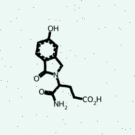 NC(=O)C(CCC(=O)O)N1Cc2cc(O)ccc2C1=O